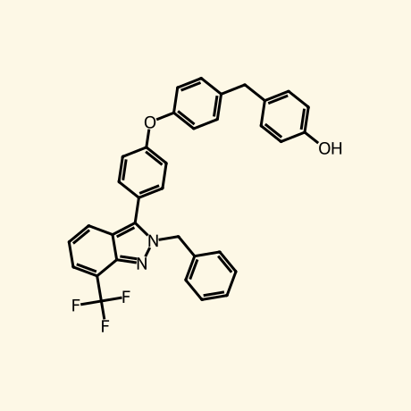 Oc1ccc(Cc2ccc(Oc3ccc(-c4c5cccc(C(F)(F)F)c5nn4Cc4ccccc4)cc3)cc2)cc1